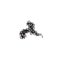 CC[C@H](C)[C@@H]([C@@H](CC(=O)N1CCC[C@H]1[C@H](OC)[C@@H](C)C(=O)N[C@@H](Cc1ccccc1)C(=O)NCCCC[C@H](NC(=O)[C@H](Cc1ccccc1)NC(=O)[C@H](C)[C@@H](OC)[C@@H]1CCCN1C(=O)C[C@@H](OC)[C@H]([C@@H](C)CC)N(C)C(=O)CNC(=O)C(C(C)C)N(C)C)C(=O)NCCOCCON)OC)N(C)C(=O)CNC(=O)C(C(C)C)N(C)C